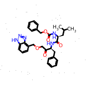 CC(C)C[C@H](NC(=O)OCc1ccccc1)C(=O)N[C@@H](Cc1ccccc1)C(=O)COCc1cccc2[nH]nnc12